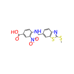 CSc1nc2ccc(CNc3ccc(C(=O)O)cc3[N+](=O)[O-])cc2s1